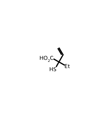 C=CC(S)(CC)C(=O)O